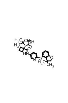 CC1(C)COc2cccc(Oc3ccc(NC(=O)C4(N(C(=O)O)C(C)(C)C)CCC4)cn3)c21